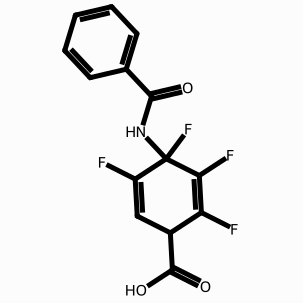 O=C(NC1(F)C(F)=CC(C(=O)O)C(F)=C1F)c1ccccc1